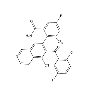 N#Cc1c(C(=O)c2cc(F)ccc2Cl)c(-c2c(C(N)=O)cc(F)cc2C(F)(F)F)cc2cnccc12